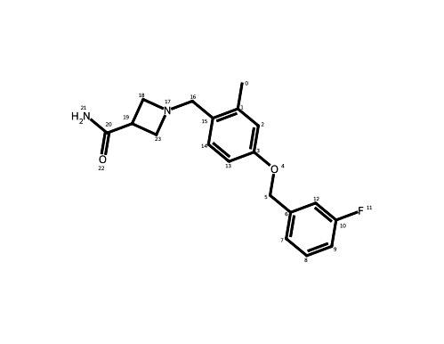 Cc1cc(OCc2cccc(F)c2)ccc1CN1CC(C(N)=O)C1